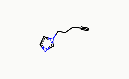 C#CCCCn1ccnc1